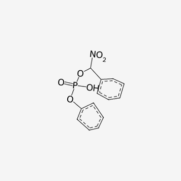 O=[N+]([O-])C(OP(=O)(O)Oc1ccccc1)c1ccccc1